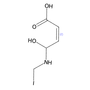 O=C(O)/C=C\C(O)NCI